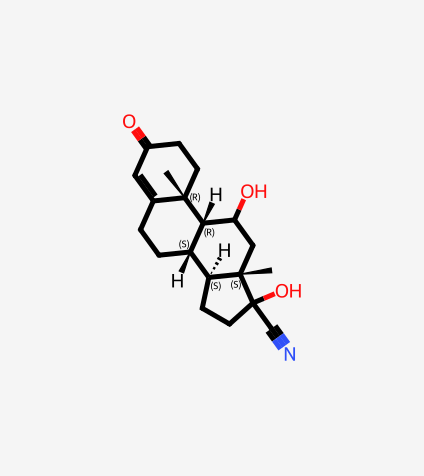 C[C@]12CCC(=O)C=C1CC[C@@H]1[C@H]2C(O)C[C@@]2(C)[C@H]1CCC2(O)C#N